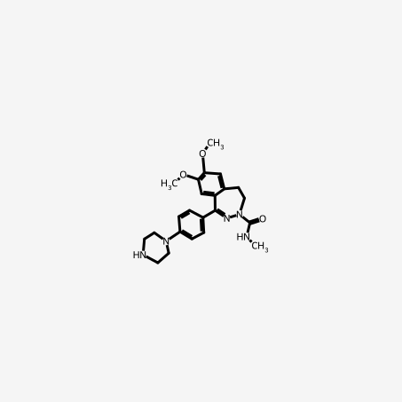 CNC(=O)N1CCc2cc(OC)c(OC)cc2C(c2ccc(N3CCNCC3)cc2)=N1